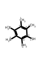 Bc1c(B)c(C)c(C)c(S)c1B